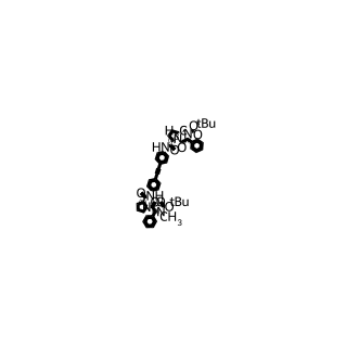 CN(C(=O)OC(C)(C)C)[C@@H](C(=O)N1CCC[C@H]1C(=O)Nc1ccc(C#Cc2ccc(NC(=O)[C@@H]3CCCN3C(=O)[C@@H](c3ccccc3)N(C)C(=O)OC(C)(C)C)cc2)cc1)c1ccccc1